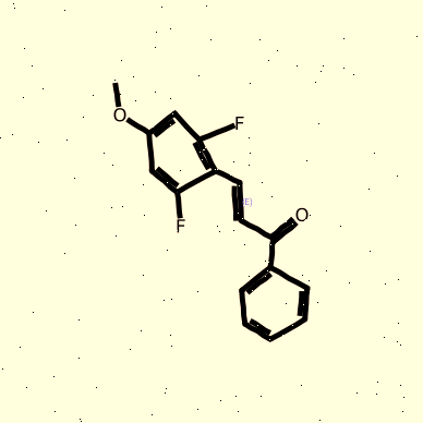 COc1cc(F)c(/C=C/C(=O)c2ccccc2)c(F)c1